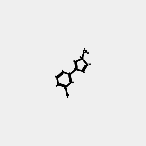 Cn1cc(-c2ccnc(Br)c2)cn1